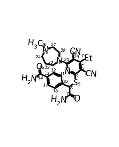 CCc1c(C#N)c(SC(C(N)=O)c2ccc(C(N)=O)cc2)nc(N2CCCN(C)CC2)c1C#N